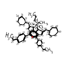 CCC[SiH](C)[Zr]([Cl])([Cl])([CH]1C(CC2CCCCCC2)=Cc2c(-c3ccc(CC)cc3)cccc21)[CH]1C(CC2CCCCCC2)=Cc2c(-c3ccc(CC)cc3)cccc21